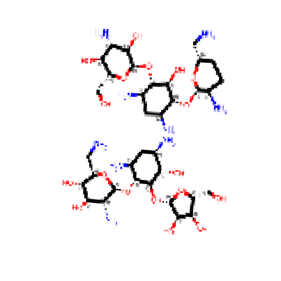 NC[C@@H]1CC[C@@H](N)[C@@H](O[C@H]2[C@H](O)[C@@H](O[C@H]3O[C@H](CO)[C@@H](O)[C@H](N)[C@H]3O)[C@H](N)C[C@@H]2N)O1.NC[C@H]1O[C@H](O[C@H]2[C@H](O[C@@H]3O[C@H](CO)[C@@H](O)[C@H]3O)[C@@H](O)[C@H](N)C[C@@H]2N)[C@H](N)[C@@H](O)[C@@H]1O